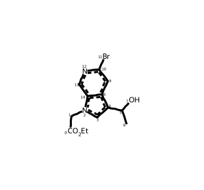 CCOC(=O)Cn1cc(C(C)O)c2cc(Br)ncc21